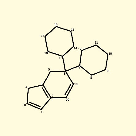 C1=CC2=C(C1)CC(C1CCCCC1)(C1CCCCC1)C=C2